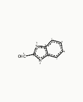 O=Cc1nc2c[c]ccc2s1